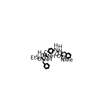 CCSOC(=O)[C@H](Cc1ccccc1)NC(=O)Nc1cc(NC(=O)N[C@@H](Cc2ccccc2)C(=O)ONC)ccc1C